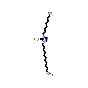 CCCCCCCCCCCC[n+]1ccn(CCCCCCCCC)c1C